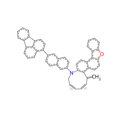 C=C1/C=C\C=C/CN(c2ccc3cc(-c4ccc5c6c(cccc46)-c4ccccc4-5)ccc3c2)c2ccc3c(ccc4oc5ccccc5c43)c21